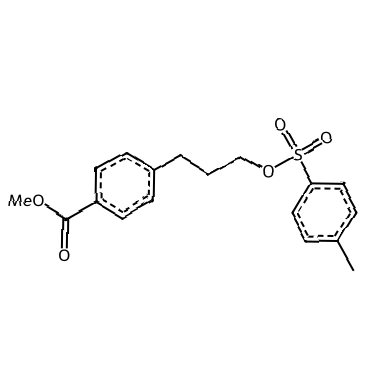 COC(=O)c1ccc(CCCOS(=O)(=O)c2ccc(C)cc2)cc1